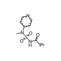 CC(C)C(=O)NS(=O)(=O)N(C)c1ccncc1